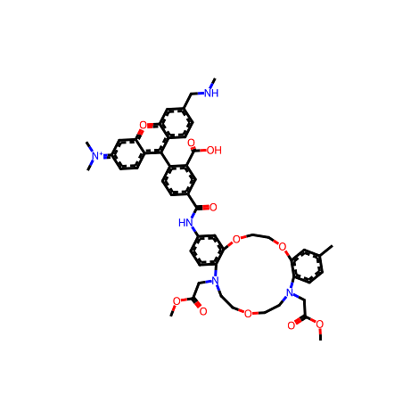 CNCc1ccc2c(-c3ccc(C(=O)Nc4ccc5c(c4)OCCOc4cc(C)ccc4N(CC(=O)OC)CCOCCN5CC(=O)OC)cc3C(=O)O)c3ccc(=[N+](C)C)cc-3oc2c1